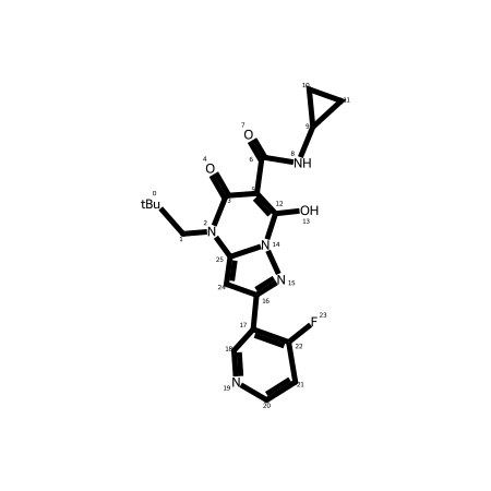 CC(C)(C)Cn1c(=O)c(C(=O)NC2CC2)c(O)n2nc(-c3cnccc3F)cc12